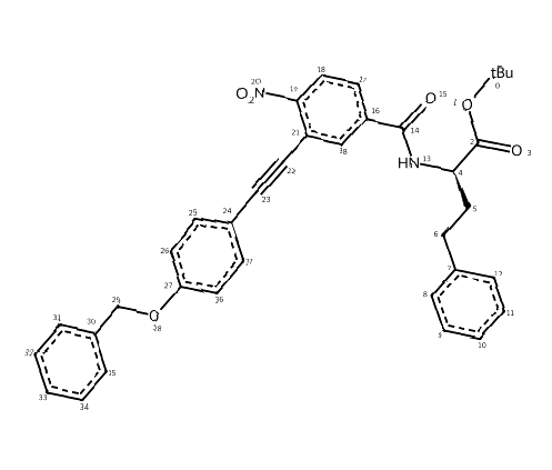 CC(C)(C)OC(=O)[C@@H](CCc1ccccc1)NC(=O)c1ccc([N+](=O)[O-])c(C#Cc2ccc(OCc3ccccc3)cc2)c1